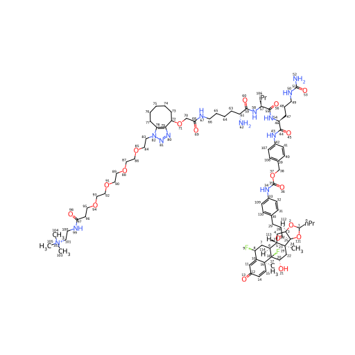 CCCC1O[C@@H]2C[C@H]3[C@@H]4C[C@H](F)C5=CC(=O)C=C[C@]5(C)[C@@]4(F)[C@@H](O)C[C@]3(C)[C@]2(C(=O)CCc2ccc(NC(=O)OCc3ccc(NC(=O)[C@H](CCCNC(N)=O)NC(=O)[C@@H](NC(=O)[C@H](N)CCCCNC(=O)COC4CCCCCc5c4nnn5CCOCCOCCOCCOCCC(=O)NCC[N+](C)(C)C)C(C)C)cc3)cc2)O1